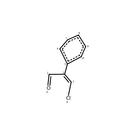 O=[C]C(=CCl)c1ccccc1